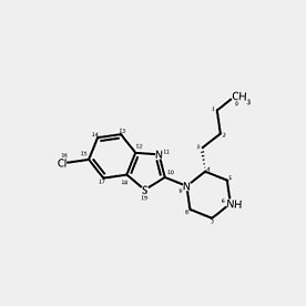 CCCC[C@@H]1CNCCN1c1nc2ccc(Cl)cc2s1